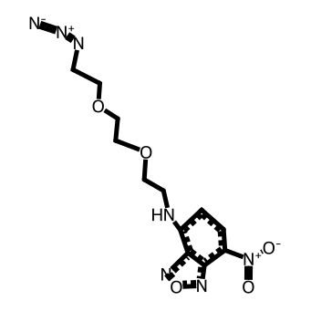 [N-]=[N+]=NCCOCCOCCNc1ccc([N+](=O)[O-])c2nonc12